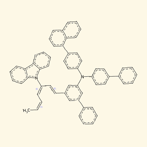 C\C=C/C=C(\C=C\c1cc(-c2ccccc2)cc(N(c2ccc(-c3ccccc3)cc2)c2ccc(-c3cccc4ccccc34)cc2)c1)n1c2ccccc2c2ccccc21